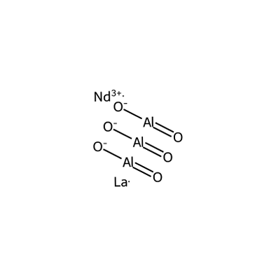 [La].[Nd+3].[O]=[Al][O-].[O]=[Al][O-].[O]=[Al][O-]